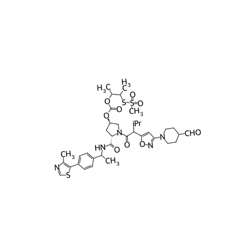 Cc1ncsc1-c1ccc(C(C)NC(=O)[C@@H]2C[C@@H](OC(=O)OC(C)C(C)SS(C)(=O)=O)CN2C(=O)C(c2cc(N3CCC(C=O)CC3)no2)C(C)C)cc1